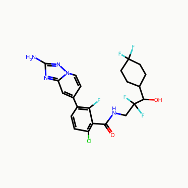 Nc1nc2cc(-c3ccc(Cl)c(C(=O)NCC(F)(F)C(O)C4CCC(F)(F)CC4)c3F)ccn2n1